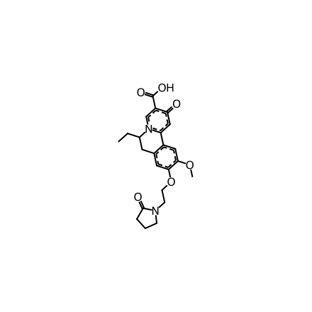 CCC1Cc2cc(OCCN3CCCC3=O)c(OC)cc2-c2cc(=O)c(C(=O)O)cn21